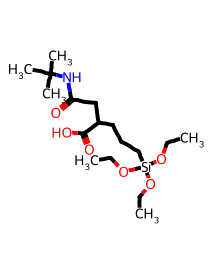 CCO[Si](CCCC(CC(=O)NC(C)(C)C)C(=O)O)(OCC)OCC